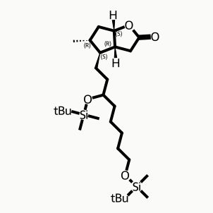 C[C@@H]1C[C@@H]2OC(=O)C[C@@H]2[C@H]1CCC(CCCCCO[Si](C)(C)C(C)(C)C)O[Si](C)(C)C(C)(C)C